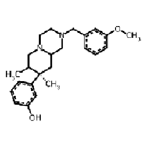 COc1cccc(CN2CCN3CC(C)[C@](C)(c4cccc(O)c4)CC3C2)c1